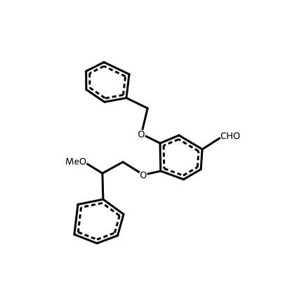 COC(COc1ccc(C=O)cc1OCc1ccccc1)c1ccccc1